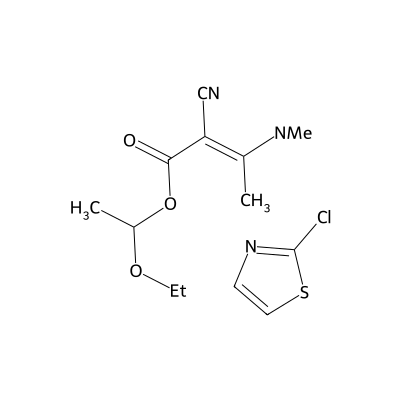 CCOC(C)OC(=O)C(C#N)=C(C)NC.Clc1nccs1